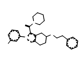 O=C(c1c2c(nn1-c1cccc(C(F)(F)F)c1)CCC(NCCc1ccccc1)C2)N1CCCCC1